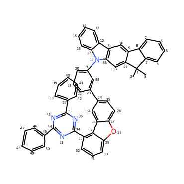 CC1(C)c2ccccc2-c2cc3c4ccccc4n(-c4cccc(-c5ccc6oc7cccc(-c8nc(-c9ccccc9)nc(-c9ccccc9)n8)c7c6c5)c4)c3cc21